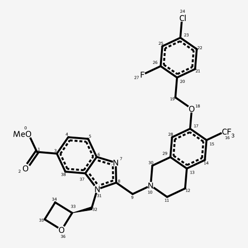 COC(=O)c1ccc2nc(CN3CCc4cc(C(F)(F)F)c(OCc5ccc(Cl)cc5F)cc4C3)n(C[C@@H]3CCO3)c2c1